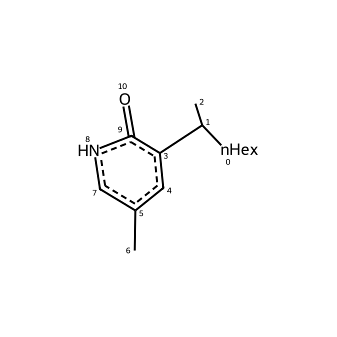 CCCCCCC(C)c1cc(C)c[nH]c1=O